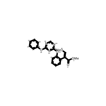 CO/C=C(/C(=O)OC)c1ccccc1Oc1ncnc(Oc2ccccc2)n1